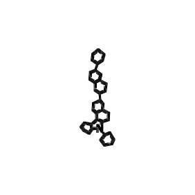 c1ccc(-c2ccc3cc(-c4ccc5c(ccc6c5c5ccccc5n6-c5ccccc5)c4)ccc3c2)cc1